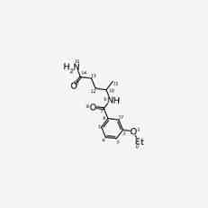 CCOc1cccc(C(=O)NC(C)CCC(N)=O)c1